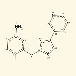 Cc1ccc(N)cc1Cc1nc(-c2cccnc2)cs1